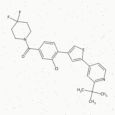 CC(C)(C)c1cc(-c2cc(-c3ccc(C(=O)N4CCC(F)(F)CC4)cc3Cl)cs2)ccn1